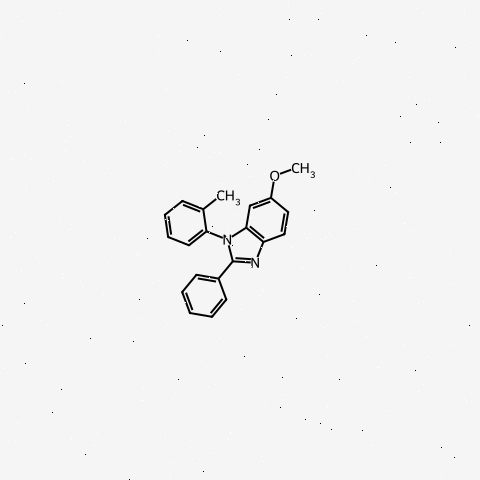 COc1ccc2nc(-c3ccccc3)n(-c3ccccc3C)c2c1